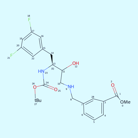 COC(=O)c1cccc(CNCC(O)[C@H](Cc2cc(F)cc(F)c2)NC(=O)OC(C)(C)C)c1